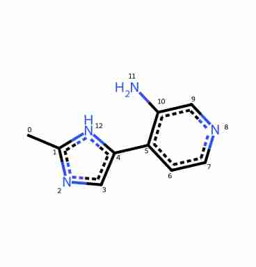 Cc1ncc(-c2ccncc2N)[nH]1